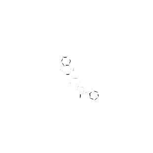 Nc1cc(C(F)(F)F)ncc1NC(=O)[C@H]1CC[C@]2(CC1)CN(c1ccccn1)C(=O)O2